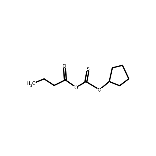 CCCC(=O)OC(=S)OC1CCCC1